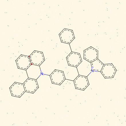 c1ccc(-c2ccc(-c3c(-c4ccc(N(c5ccccc5)c5ccc6ccccc6c5-c5ccccc5)cc4)cccc3-n3c4ccccc4c4ccccc43)cc2)cc1